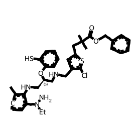 CCN(N)c1cccc(C)c1NC[C@H](CNCc1cc(CC(C)(C)C(=O)OCc2ccccc2)sc1Cl)Oc1ccccc1S